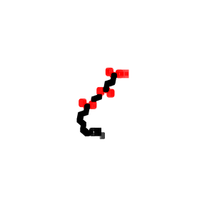 C/C=C\C/C=C\CC(=O)OCCOC(=O)/C=C/C(=O)O